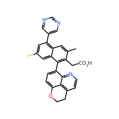 Cc1cc2c(-c3cncnc3)cc(F)cc2c(-c2ccc3c4c(ccnc24)CCO3)c1CC(=O)O